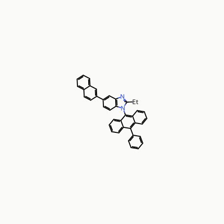 CCc1nc2cc(-c3ccc4ccccc4c3)ccc2n1-c1c2ccccc2c(-c2ccccc2)c2ccccc12